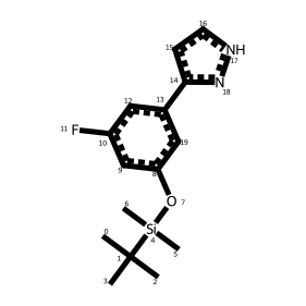 CC(C)(C)[Si](C)(C)Oc1cc(F)cc(-c2cc[nH]n2)c1